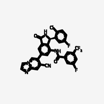 N#Cc1cc2nccn2cc1-c1cc(NC(=O)c2cc(F)cc(C(F)(F)F)c2)c2c(c1)C(=O)N[C@H]2c1cc(F)ccc1Cl